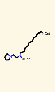 CCCCCCCC/C=C\CCCCCCCCN(CCCCCCCC)CCN1CCCC1